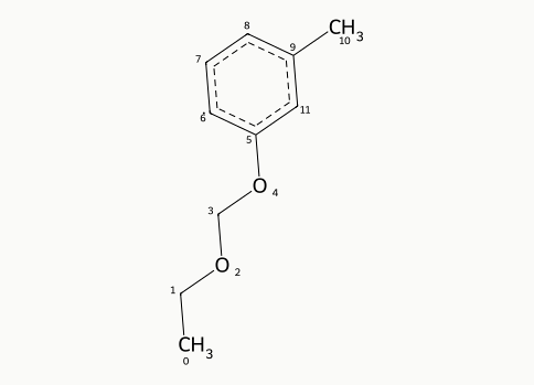 CCOCOc1[c]ccc(C)c1